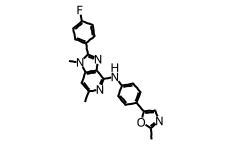 Cc1cc2c(nc(-c3ccc(F)cc3)n2C)c(Nc2ccc(-c3cnc(C)o3)cc2)n1